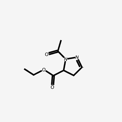 CCOC(=O)C1C[C]=NN1C(C)=O